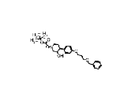 CC(C)(C)OC(=O)ON1CCC(c2ccc(OCCCOCc3ccccc3)cc2)C(O)C1